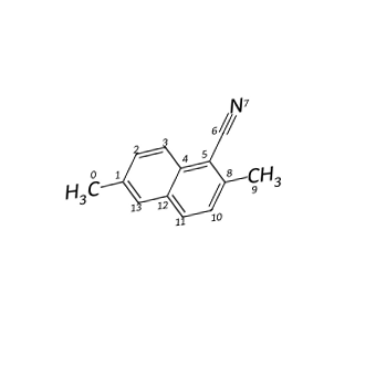 Cc1ccc2c(C#N)c(C)ccc2c1